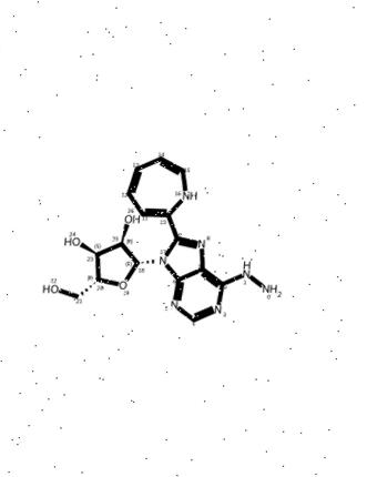 NNc1ncnc2c1nc(C1=CC=CC=CN1)n2[C@@H]1O[C@H](CO)[C@@H](O)[C@H]1O